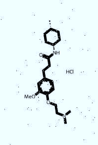 COc1cc(CCC(=O)N[C@H]2CC[C@@H](C)CC2)ccc1OCCN(C)C.Cl